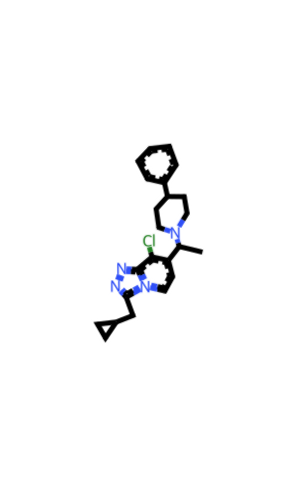 CC(c1ccn2c(CC3CC3)nnc2c1Cl)N1CCC(c2ccccc2)CC1